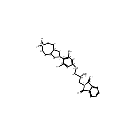 O=C1c2ccccc2C(=O)N1C[C@H](O)CNc1cc(F)c(N2CC3CCS(=O)(=O)CCC3C2)c(F)c1